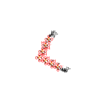 O=P([O-])(O)O.O=P([O-])(O)O.O=P([O-])(O)O.O=P([O-])(O)O.O=P([O-])(O)O.O=P([O-])([O-])[O-].O=P([O-])([O-])[O-].[Al+3].[H+].[H+].[Mg+2].[Mg+2].[Mg+2]